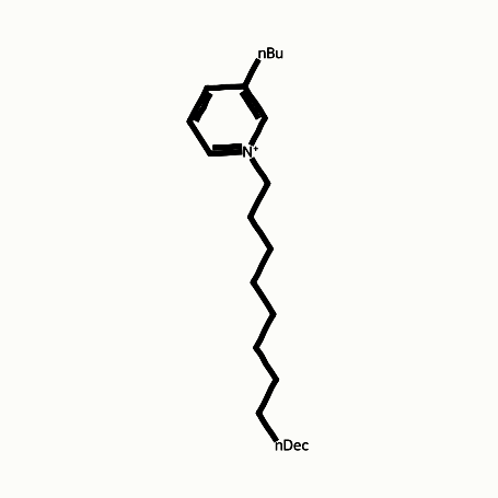 CCCCCCCCCCCCCCCCCC[n+]1cccc(CCCC)c1